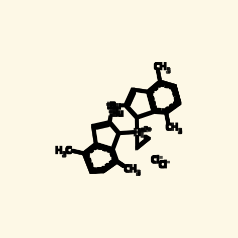 Cc1ccc(C)c2c1C=C(C(C)(C)C)[CH]2[Hf+2]1([CH]2C(C(C)(C)C)=Cc3c(C)ccc(C)c32)[CH2][CH2]1.[Cl-].[Cl-]